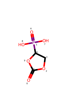 O=C1OCC(P(=O)(O)O)O1